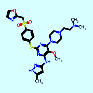 COc1c(Nc2cc(C)[nH]n2)nc(Sc2ccc(S(=O)(=O)Cc3ncco3)cc2)nc1N1CCN(CCN(C)C)CC1